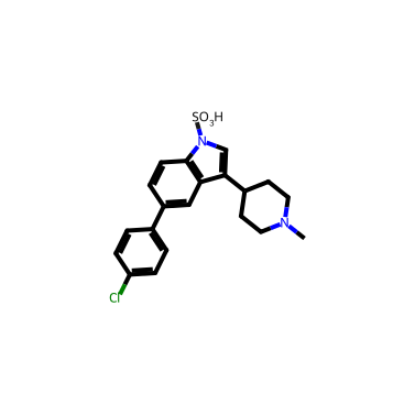 CN1CCC(c2cn(S(=O)(=O)O)c3ccc(-c4ccc(Cl)cc4)cc23)CC1